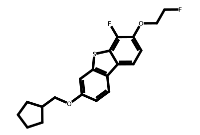 FCCOc1ccc2c(sc3cc(OCC4CCCC4)ccc32)c1F